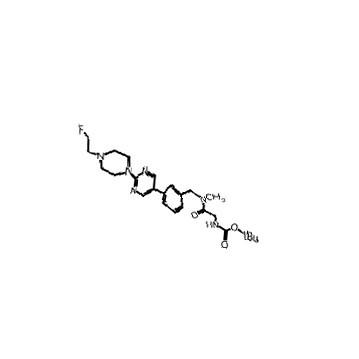 CN(Cc1cccc(-c2cnc(N3CCN(CCF)CC3)nc2)c1)C(=O)CNC(=O)OC(C)(C)C